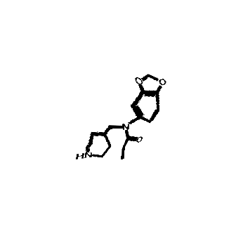 CCC(=O)N(CC1CCNCC1)c1ccc2c(c1)OCO2